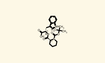 CC(C)(C)OC(=O)N1CCCC[C@H]1C(=O)N[C@@H](Cc1c[nH]c2ccccc12)C(=O)O